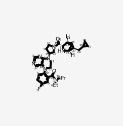 CCN(C(=O)c1cc(F)ccc1N1CCN([C@H]2CCN(C(=O)[C@H]3N[C@H]4C[C@@H]3C[C@H]4CC3CC3)C2)c2ncncc21)C(C)C